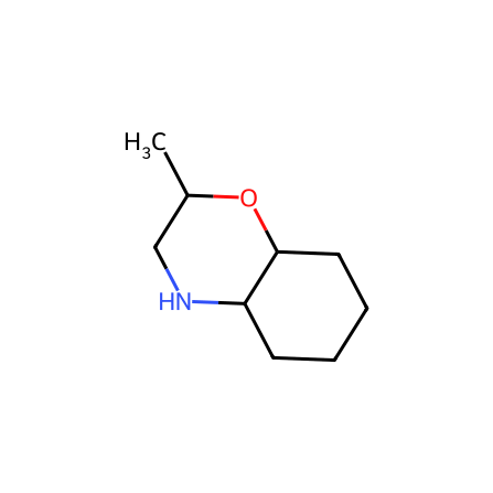 CC1CNC2CCCCC2O1